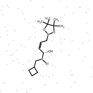 CCN(CC1CCC1)[C@@H](O)/C=C\CB1OC(C)(C)C(C)(C)O1